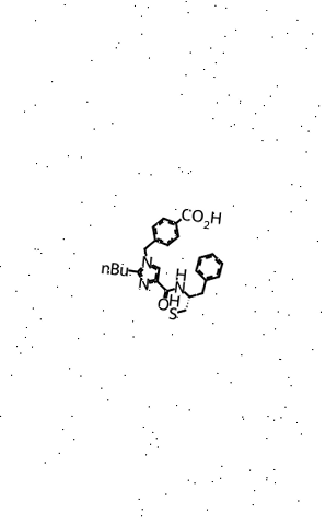 CCCCc1nc(C(=O)N[C@@H](CS)Cc2ccccc2)cn1Cc1ccc(C(=O)O)cc1